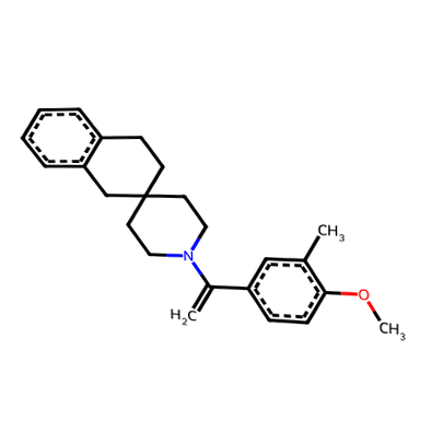 C=C(c1ccc(OC)c(C)c1)N1CCC2(CCc3ccccc3C2)CC1